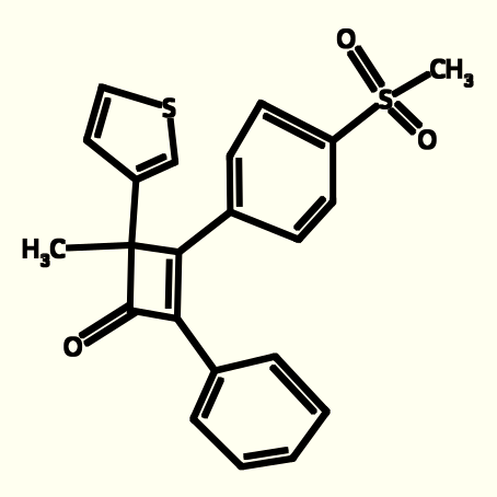 CC1(c2ccsc2)C(=O)C(c2ccccc2)=C1c1ccc(S(C)(=O)=O)cc1